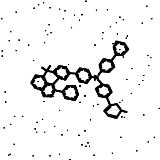 CC1C=CC=C(c2ccc(N(c3ccc(-c4ccccc4)cc3)c3ccc(-c4ccc5c(c4)-c4c(-c6ccccc6)ccc6cccc(c46)C5(C)C)cc3)cc2)C1